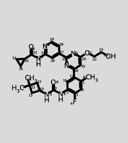 Cc1cc(F)c(NC(=O)NC2CC(C)(C)C2)cc1-c1cc(OCCO)nc(-c2ccnc(NC(=O)C3CC3)c2)n1